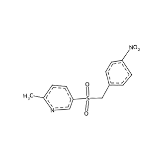 Cc1ccc(S(=O)(=O)Cc2ccc([N+](=O)[O-])cc2)cn1